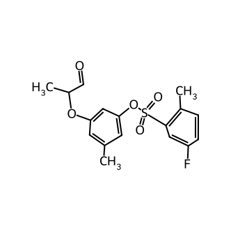 Cc1cc(OC(C)C=O)cc(OS(=O)(=O)c2cc(F)ccc2C)c1